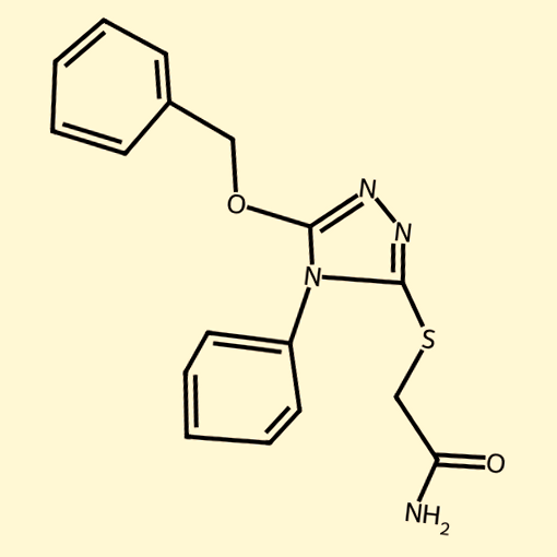 NC(=O)CSc1nnc(OCc2ccccc2)n1-c1ccccc1